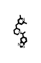 Cc1cc(CC2CCCN(C(C)c3ccc4scnc4c3)C2)cc(C)n1